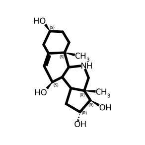 C[C@]12CC[C@H](O)CC1=C[C@H](O)C1C2NC[C@@]2(C)C1C[C@@H](O)[C@@H]2O